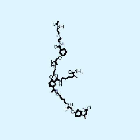 CC(=O)NCCOCCNC(=O)c1cccc(OCc2cn(CCCOc3ccc(/C(C)=N/OCCCCNC(=O)COc4ccc5c(C)cc(=O)oc5c4)cc3C(=O)NCCCC[C@H](C)C(N)=O)nn2)c1